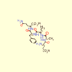 C[C@H](NC(=O)[C@H](C)NC(=O)[C@@H](N)CCC(=O)O)C(=O)N[C@@H](Cc1ccccc1)C(=O)N[C@@H](CCC(N)=O)C(=O)O